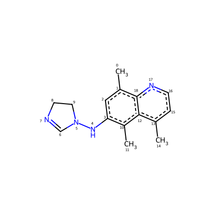 Cc1cc(NN2C=NCC2)c(C)c2c(C)ccnc12